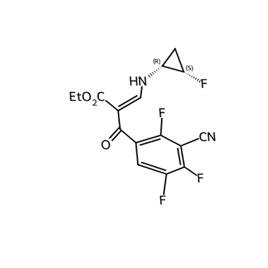 CCOC(=O)C(=CN[C@@H]1C[C@@H]1F)C(=O)c1cc(F)c(F)c(C#N)c1F